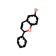 Brc1ccc2c(c1)C=CC(c1ccccc1)O2